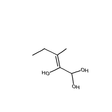 CCC(C)=C(O)C(O)O